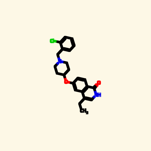 CCc1c[nH]c(=O)c2ccc(OC3CCN(Cc4ccccc4Cl)CC3)cc12